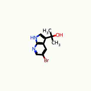 CC(C)(O)c1c[nH]c2ncc(Br)cc12